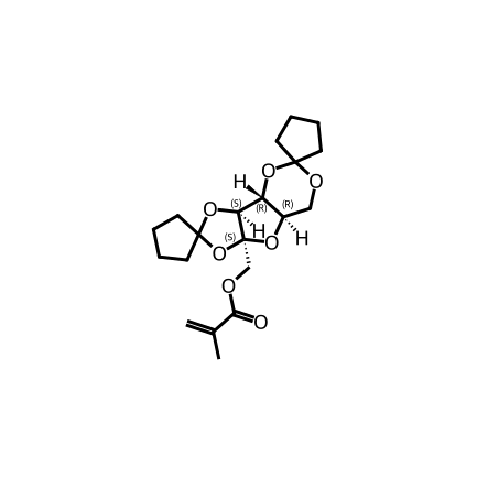 C=C(C)C(=O)OC[C@@]12O[C@@H]3COC4(CCCC4)O[C@H]3[C@@H]1OC1(CCCC1)O2